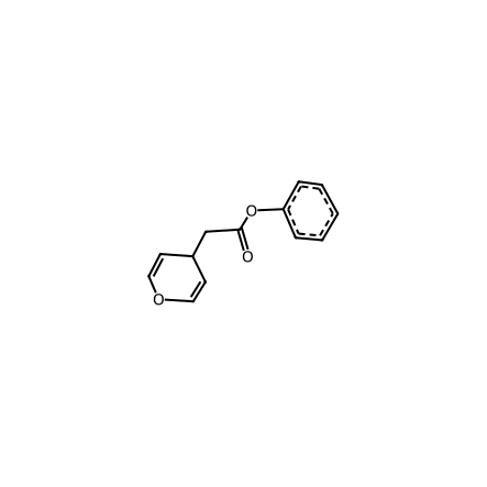 O=C(CC1C=COC=C1)Oc1ccccc1